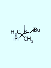 CCC(C)CB(I)C(C)(C)C(C)C